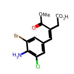 COC(=O)/C(=C\c1cc(Cl)c(N)c(Br)c1)CC(=O)O